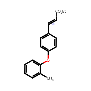 CCOC(=O)/C=C/c1ccc(Oc2ccccc2C)cc1